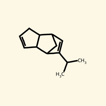 CC(C)C1=CC2CC1C1C=CCC21